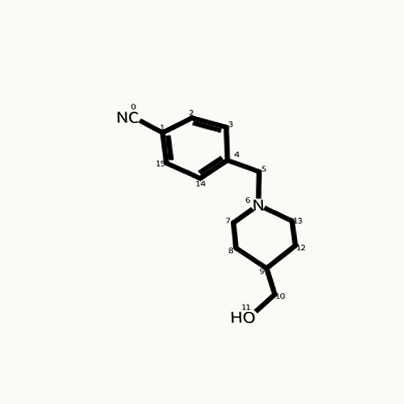 N#Cc1ccc(CN2CCC(CO)CC2)cc1